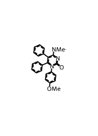 C[N]c1nc(=O)n(-c2ccc(OC)cc2)c(-c2ccccc2)c1-c1ccccc1